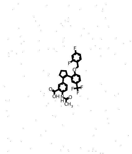 CC(=O)Nc1ccc(C2=C(c3cc(C(F)(F)F)ccc3OCc3ccc(F)cc3F)CCC2)cc1C(=O)O